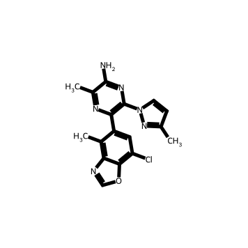 Cc1ccn(-c2nc(N)c(C)nc2-c2cc(Cl)c3ocnc3c2C)n1